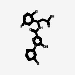 O=C(O)CC(NC(=O)c1cc(O)n(-c2cccc(Cl)c2)n1)c1cc(F)ccc1Cl